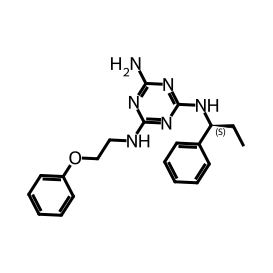 CC[C@H](Nc1nc(N)nc(NCCOc2ccccc2)n1)c1ccccc1